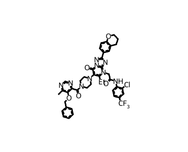 CCc1c(N2CCN(C(=O)c3ncnc(C)c3OCc3ccccc3)CC2)c(=O)n2nc(-c3ccc4c(c3)CCCO4)nc2n1CC(=O)Nc1ccc(C(F)(F)F)cc1Cl